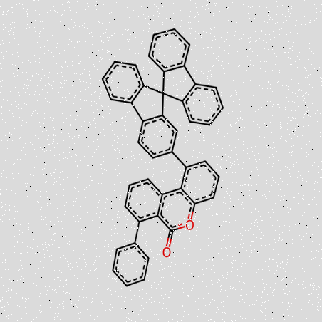 O=c1oc2cccc(-c3ccc4c(c3)C3(c5ccccc5-c5ccccc53)c3ccccc3-4)c2c2cccc(-c3ccccc3)c12